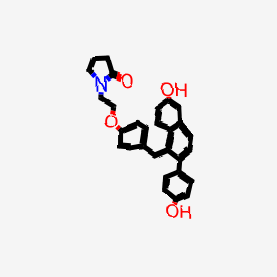 O=C1CCCN1CCOc1ccc(Cc2c(-c3ccc(O)cc3)ccc3cc(O)ccc23)cc1